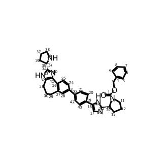 O=C(OCc1ccccc1)N1CCC[C@H]1c1ncc(-c2ccc(-c3ccc4c(c3)CCCc3[nH]c([C@@H]5CCCN5)nc3-4)cc2)[nH]1